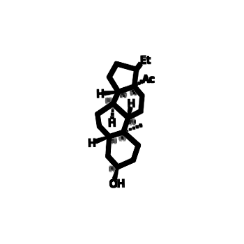 CCC1CC[C@H]2[C@@H]3CC[C@H]4C[C@H](O)CC[C@]4(C)[C@H]3CC[C@]12C(C)=O